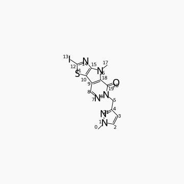 Cn1ccc(Cn2ncc3c4sc(I)nc4n(C)c3c2=O)n1